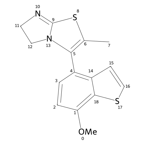 COc1ccc(C2=C(C)SC3=NCCN32)c2ccsc12